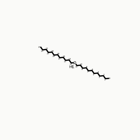 CCCCCCCCCCCCOCCCCCCCCCCCC.F